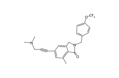 Cc1cc(C#CCN(C)C)cc2c1C(=O)N(Cc1ccc(OC(F)(F)F)cc1)C2